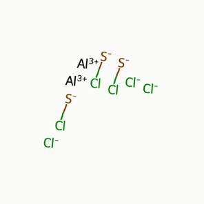 [Al+3].[Al+3].[Cl-].[Cl-].[Cl-].[S-]Cl.[S-]Cl.[S-]Cl